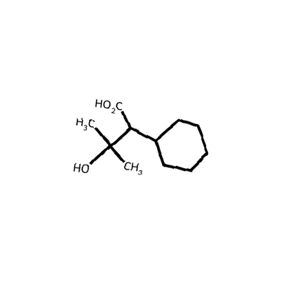 CC(C)(O)C(C(=O)O)C1CCCCC1